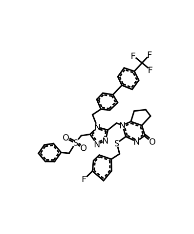 O=c1nc(SCc2ccc(F)cc2)n(Cc2nnc(CS(=O)(=O)Cc3ccccc3)n2Cc2ccc(-c3ccc(C(F)(F)F)cc3)cc2)c2c1CCC2